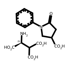 N[C@H](C(=O)O)C(C(=O)O)C(=O)O.O=C(O)C1CC(=O)N(c2ccccc2)C1